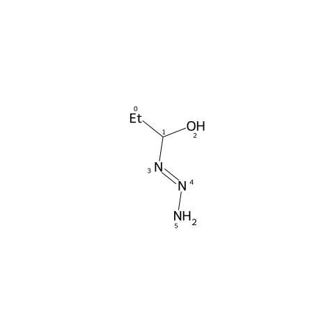 CCC(O)N=NN